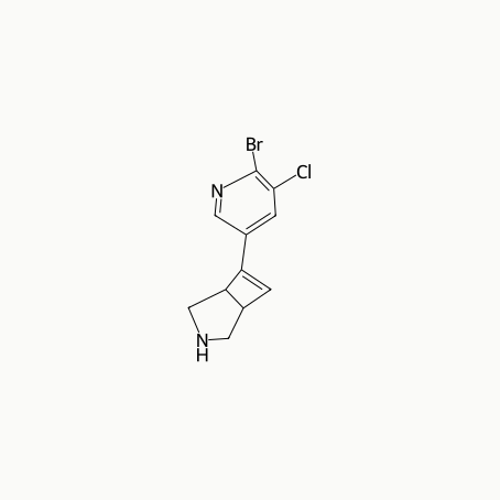 Clc1cc(C2=CC3CNCC23)cnc1Br